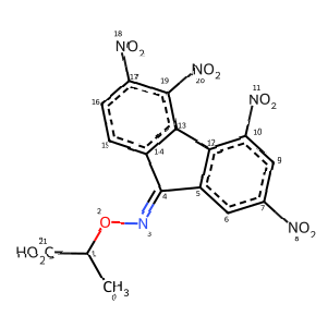 CC(ON=C1c2cc([N+](=O)[O-])cc([N+](=O)[O-])c2-c2c1ccc([N+](=O)[O-])c2[N+](=O)[O-])C(=O)O